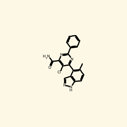 Cc1ccc2[nH]ncc2c1-c1nc(-c2ccccc2)nc(C(N)=O)c1Cl